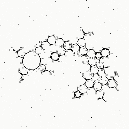 CSCN(C(=O)[C@H](CC(C)C)NC(=O)[C@H](Cc1cnc[nH]1)N(C)C(=O)CNC(=O)[C@@H](NC(=O)[C@H](C)NC(=O)[C@H](Cc1c[nH]c2ccccc12)NC(=O)[C@H](CCC(N)=O)NC(=O)[C@@H](Cc1ccccc1)NC(=O)CN1CCC(NC(=O)CN2CCN(CC(=O)O)CCN(CC(=O)O)CCN(CC(=O)O)CC2)CC1)C(C)(C)C)[C@@H](C)C(N)=O